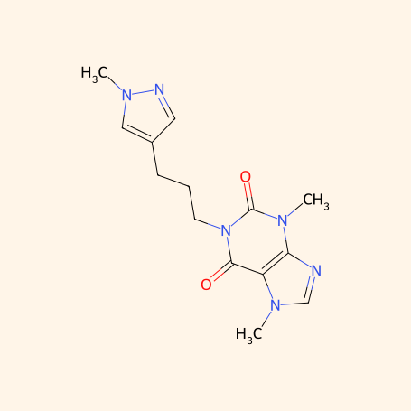 Cn1cc(CCCn2c(=O)c3c(ncn3C)n(C)c2=O)cn1